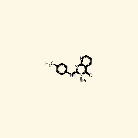 CCCn1c(=O)c2cccnc2s/c1=N\c1ccc(C)cc1